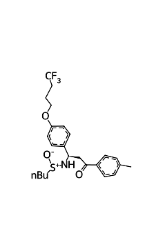 CCCC[S+]([O-])N[C@H](CC(=O)c1ccc(C)cc1)c1ccc(OCCCC(F)(F)F)cc1